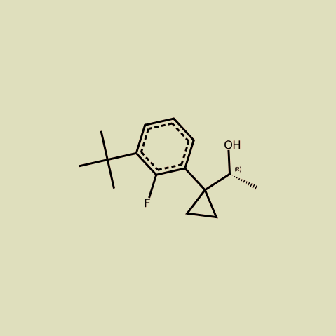 C[C@@H](O)C1(c2cccc(C(C)(C)C)c2F)CC1